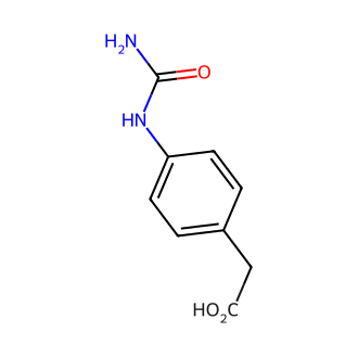 NC(=O)Nc1ccc(CC(=O)O)cc1